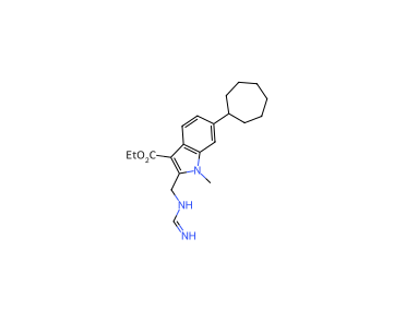 CCOC(=O)c1c(CNC=N)n(C)c2cc(C3CCCCCC3)ccc12